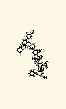 CC1(CN2CCNCC2)CCC(c2ccc(Cl)cc2)=C(CN2CCN(c3ccc(C(=O)NS(=O)(=O)c4ccc(N[C@H](CCO)CSc5ccccc5)c([N+](=O)[O-])c4)cc3)CC2)C1.Cl